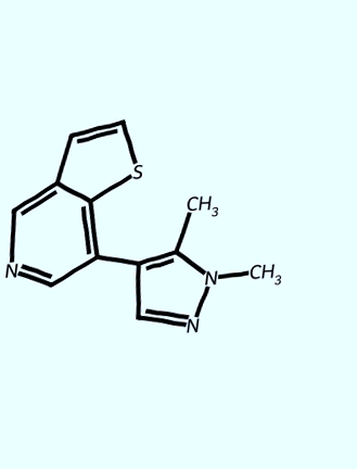 Cc1c(-c2cncc3ccsc23)cnn1C